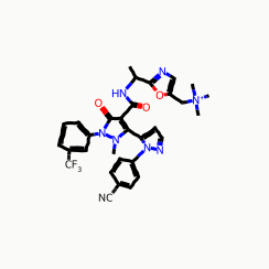 CC(NC(=O)c1c(-c2ccnn2-c2ccc(C#N)cc2)n(C)n(-c2cccc(C(F)(F)F)c2)c1=O)c1ncc(C[N+](C)(C)C)o1